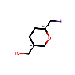 OC[C@H]1CC[C@@H](CI)OC1